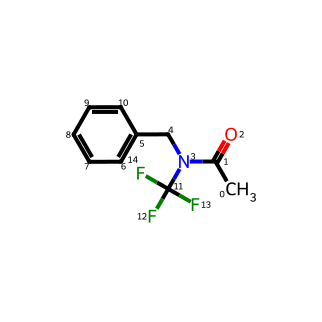 CC(=O)N(Cc1ccccc1)C(F)(F)F